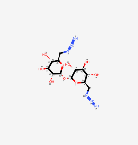 N=[N+]=NC[C@H]1O[C@H](O[C@H]2O[C@H](CN=[N+]=N)[C@@H](O)[C@H](O)[C@H]2O)[C@H](O)[C@@H](O)[C@@H]1O